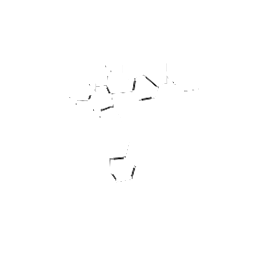 CCCNc1ccc(-c2c(N)nc(N)nc2COCc2ccccc2)cc1